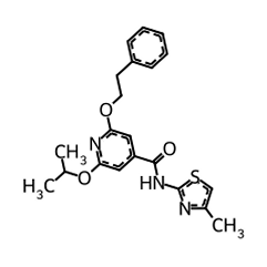 Cc1csc(NC(=O)c2cc(OCCc3ccccc3)nc(OC(C)C)c2)n1